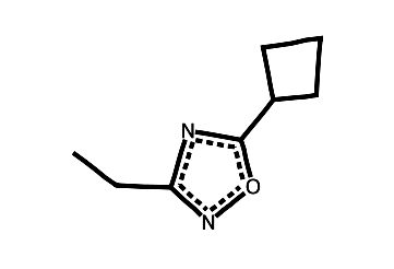 CCc1noc(C2CCC2)n1